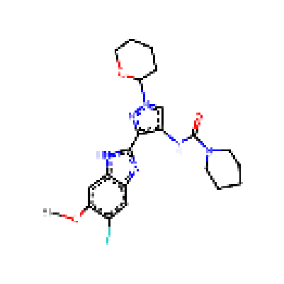 CCOc1cc2[nH]c(-c3nn(C4CCCCO4)cc3NC(=O)N3CCCCC3)nc2cc1F